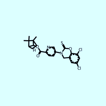 CC1(C)C2CCC1(C)[C@H]2OC(=O)c1ccc(N2Cc3cc(Cl)cc(Cl)c3OC2=S)cn1